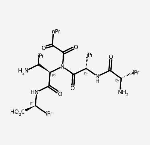 CCCC(=O)C(=O)N(C(=O)[C@@H](NC(=O)[C@@H](N)C(C)C)C(C)C)[C@@H](C(=O)N[C@H](C(=O)O)C(C)C)C(N)C(C)C